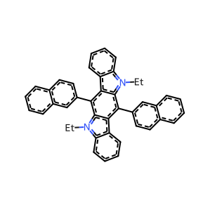 CCn1c2ccccc2c2c(-c3ccc4ccccc4c3)c3c(c(-c4ccc5ccccc5c4)c21)c1ccccc1n3CC